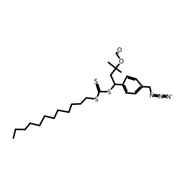 CCCCCCCCCCCCSC(=S)SC(CC(C)(C)OC=O)c1ccc(CN=[N+]=[N-])cc1